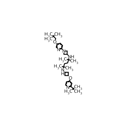 CC(C)(C)COc1ccc(N2CC(NC(C)(C)CCC(C)(C)N[C@H]3C[C@@H](Oc4ccnc(C(C)(C)C)c4)C3)C2)nc1